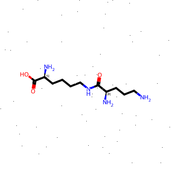 NCCC[C@@H](N)C(=O)NCCCC[C@H](N)C(=O)O